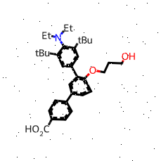 CCN(CC)c1c(C(C)(C)C)cc(-c2cc(-c3ccc(C(=O)O)cc3)ccc2OCCCO)cc1C(C)(C)C